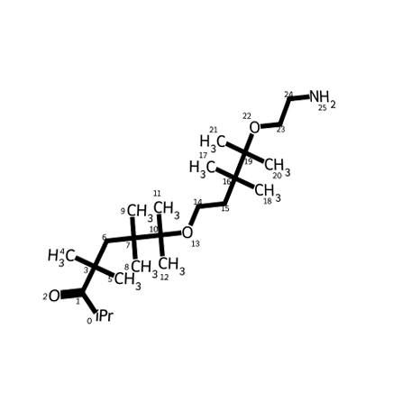 CC(C)C(=O)C(C)(C)CC(C)(C)C(C)(C)OCCC(C)(C)C(C)(C)OCCN